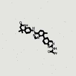 Cc1ccc2c(Nc3ccc4c(c3)NC(=O)CC4(C)C)ncnc2c1-c1ccc2nc(NC(=O)C(C)C)ncc2c1